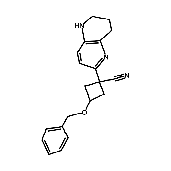 N#CC1(c2ccc3c(n2)CCCN3)CC(OCc2ccccc2)C1